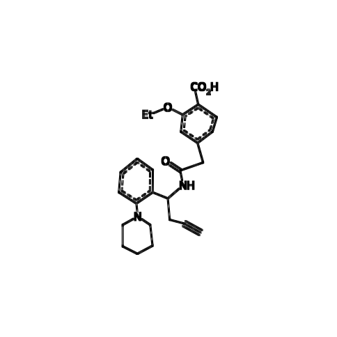 C#CCC(NC(=O)Cc1ccc(C(=O)O)c(OCC)c1)c1ccccc1N1CCCCC1